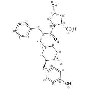 C[C@H]1CN(C[C@H](Cc2ccccc2)C(=O)N2C[C@H](O)C[C@@H]2C(=O)O)CC[C@@]1(C)c1cccc(O)c1